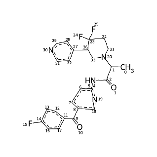 CC(C(=O)Nc1ccc(C(=O)c2ccc(F)cc2)cn1)N1CCC(F)(F)C(c2ccncc2)C1